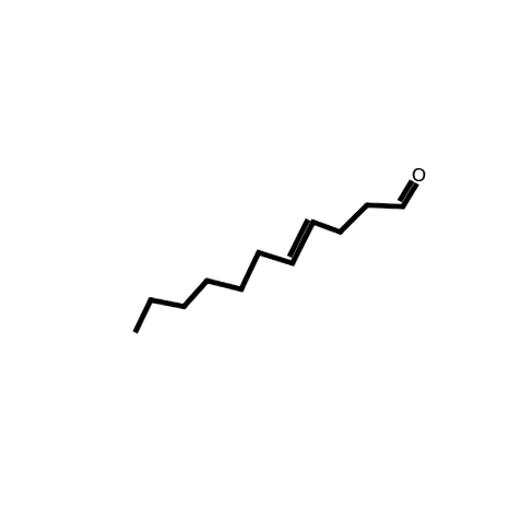 CCCCCCC=CCCC=O